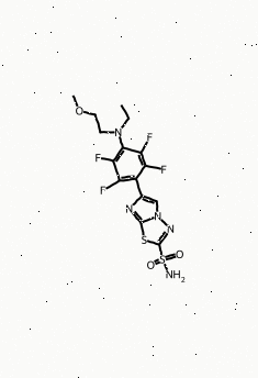 CCN(CCOC)c1c(F)c(F)c(-c2cn3nc(S(N)(=O)=O)sc3n2)c(F)c1F